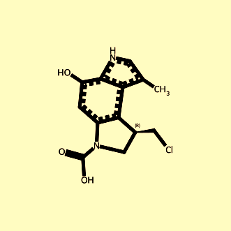 Cc1c[nH]c2c(O)cc3c(c12)[C@@H](CCl)CN3C(=O)O